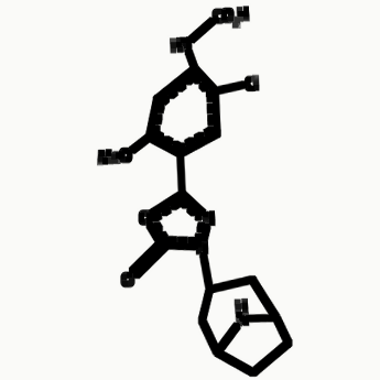 COc1cc(NC(=O)O)c(Cl)cc1-c1nn(C2CC3CCC(C2)N3)c(=O)o1